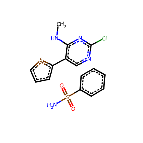 CNc1nc(Cl)ncc1-c1cccs1.NS(=O)(=O)c1ccccc1